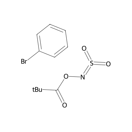 Brc1ccccc1.CC(C)(C)C(=O)ON=S(=O)=O